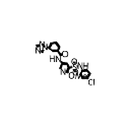 COc1ncc(NC(=O)c2cccc(-n3cncn3)c2)cc1S(=O)(=O)Nc1ccc(Cl)cc1